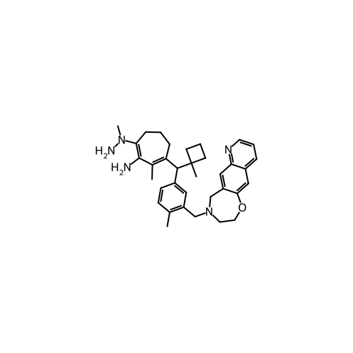 CC1=C(C(c2ccc(C)c(CN3CCOc4cc5cccnc5cc4C3)c2)C2(C)CCC2)CCCC(N(C)N)=C1N